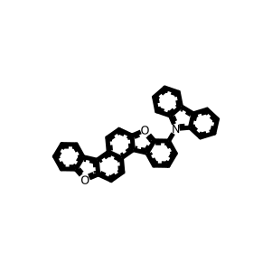 c1ccc2c(c1)oc1ccc3c(ccc4oc5c(-n6c7ccccc7c7ccccc76)cccc5c43)c12